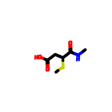 CNC(=O)C(CC(=O)O)SC